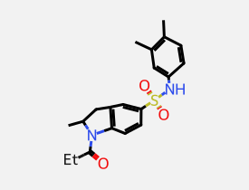 CCC(=O)N1c2ccc(S(=O)(=O)Nc3ccc(C)c(C)c3)cc2CC1C